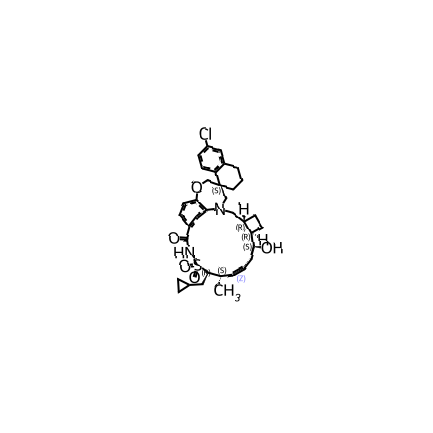 C[C@H]1/C=C\C[C@H](O)[C@@H]2CC[C@H]2CN2C[C@@]3(CCCc4cc(Cl)ccc43)COc3ccc(cc32)C(=O)NS(=O)(=O)[C@@H]1CC1CC1